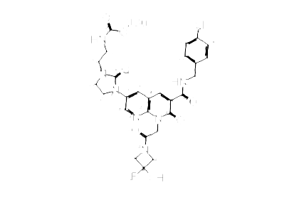 CC1(F)CN(C(=O)Cn2c(=O)c(C(=O)NCc3ccc(Cl)cc3)cc3cc(N4CCN(CCNC(=O)OC(C)(C)C)C4=O)cnc32)C1